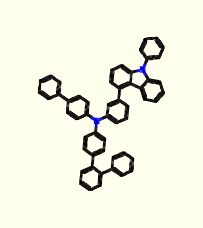 c1ccc(-c2ccc(N(c3ccc(-c4ccccc4-c4ccccc4)cc3)c3cccc(-c4cccc5c4c4ccccc4n5-c4ccccc4)c3)cc2)cc1